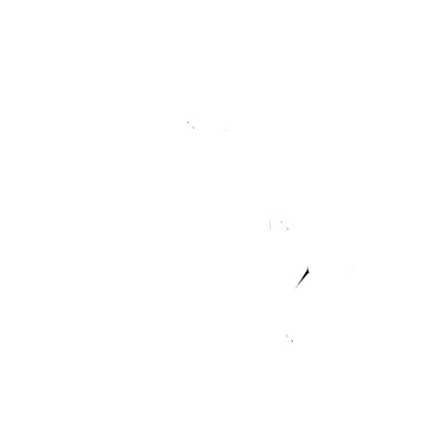 O=C(N[C@H](/C=C/C(=O)N1Cc2ccccc2C1)C1CC1)[C@@H]1CCN1